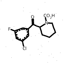 O=C(c1cc(F)cc(Cl)c1)C1CCCCN1C(=O)O